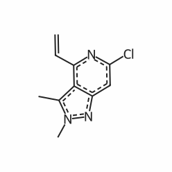 C=Cc1nc(Cl)cc2nn(C)c(C)c12